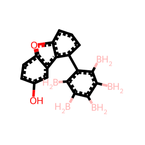 Bc1c(B)c(B)c(-c2cccc3oc4ccc(O)cc4c23)c(B)c1B